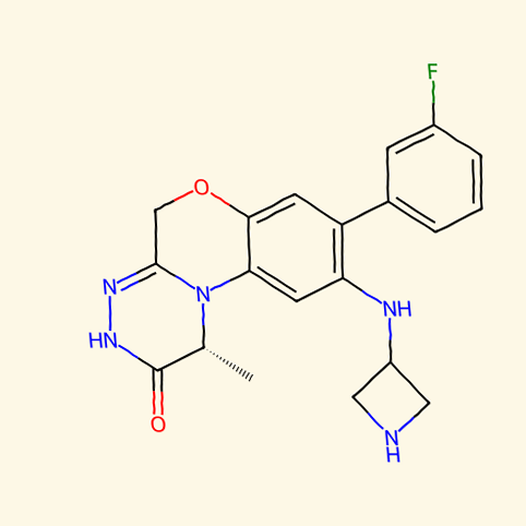 C[C@@H]1C(=O)NN=C2COc3cc(-c4cccc(F)c4)c(NC4CNC4)cc3N21